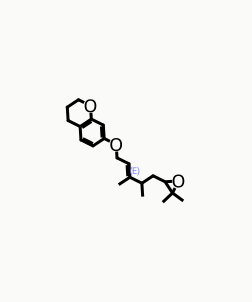 C/C(=C\COc1ccc2c(c1)OCCC2)C(C)CC1OC1(C)C